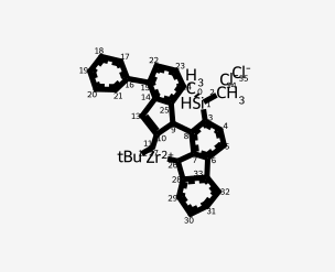 C[SiH](C)c1ccc2c(c1C1C(CC(C)(C)C)=Cc3c(-c4ccccc4)cccc31)[CH]([Zr+2])c1ccccc1-2.[Cl-].[Cl-]